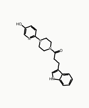 O=C(CCc1c[nH]c2ccccc12)N1CCN(c2ccc(O)cn2)CC1